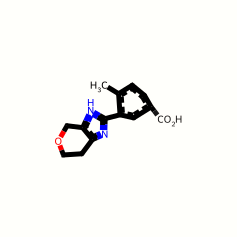 Cc1ccc(C(=O)O)cc1-c1nc2c([nH]1)COCC2